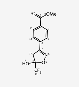 COC(=O)c1ccc(C2=NOC(O)(C(F)(F)F)C2)cc1